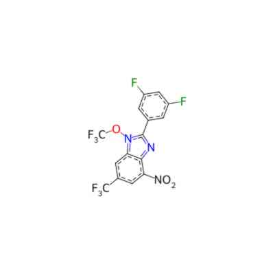 O=[N+]([O-])c1cc(C(F)(F)F)cc2c1nc(-c1cc(F)cc(F)c1)n2OC(F)(F)F